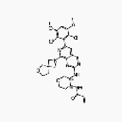 C=CC(=O)N[C@H]1CCOC[C@H]1Nc1ncc2cc(-c3c(Cl)c(OC)cc(OC)c3Cl)nc(N3CC4(CCOC4)C3)c2n1